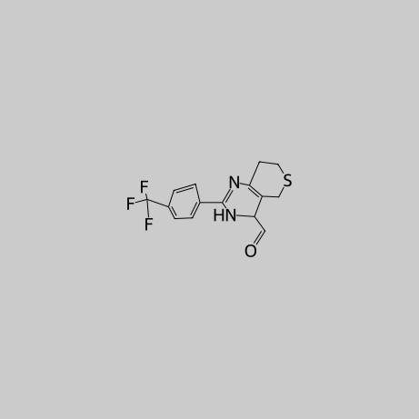 O=CC1NC(c2ccc(C(F)(F)F)cc2)=NC2=C1CSCC2